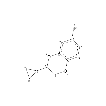 CC(C)c1ccc2c(c1)OC(C1CC1)CO2